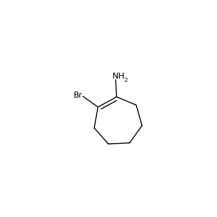 NC1=C(Br)CCCCC1